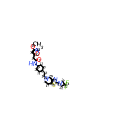 COc1cc(CC(=O)N[C@H]2CC[C@H](CCN3CCc4sc(N5CC(F)(F)C5)nc4C3)CC2)on1